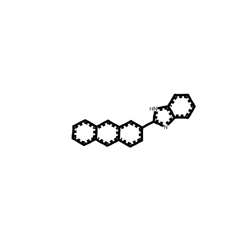 c1ccc2cc3cc(-c4nc5ccccc5[nH]4)ccc3cc2c1